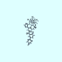 CC(C)(C)[Si](C)(C)OCc1ncsc1C(CNC(=O)c1cc(-c2ncc(F)cn2)ccc1Cl)N1CCC(F)(F)CC1